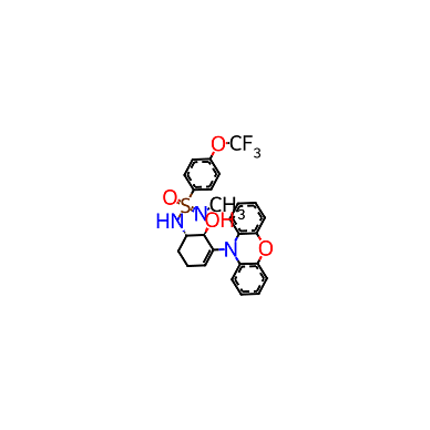 CN=S(=O)(N[C@H]1CCC=C(N2c3ccccc3Oc3ccccc32)[C@@H]1O)c1ccc(OC(F)(F)F)cc1